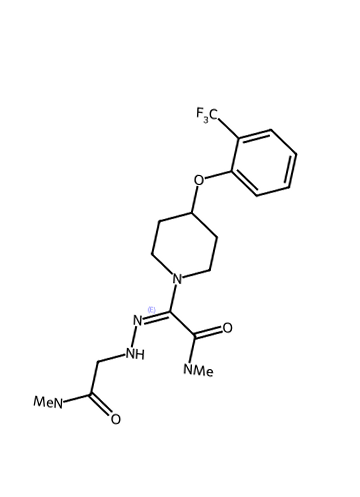 CNC(=O)CN/N=C(\C(=O)NC)N1CCC(Oc2ccccc2C(F)(F)F)CC1